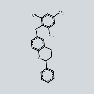 Nc1cc(C(F)(F)F)cc(N)c1Oc1ccc2c(c1)CCC(c1ccccc1)O2